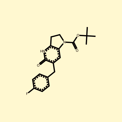 CC(C)(C)OC(=O)N1CCc2[nH]c(=O)c(Cc3ccc(F)cc3)cc21